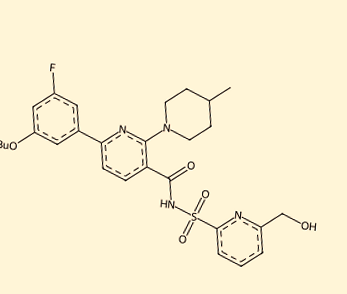 CC(C)COc1cc(F)cc(-c2ccc(C(=O)NS(=O)(=O)c3cccc(CO)n3)c(N3CCC(C)CC3)n2)c1